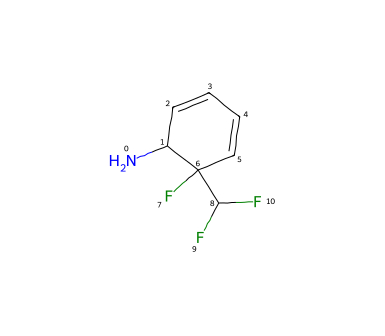 NC1C=CC=CC1(F)C(F)F